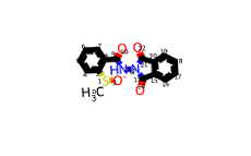 C[S+]([O-])c1ccccc1C(=O)NN1C(=O)c2ccccc2C1=O